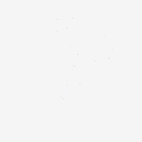 COCO/N=c1\ccn2c(c1OCOC)C(=O)N1CCOCC1N2C(=O)OC(C)(C)C